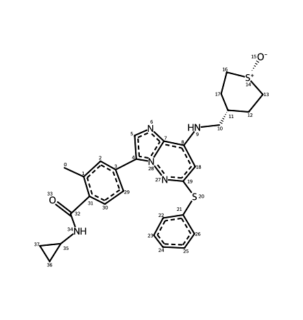 Cc1cc(-c2cnc3c(NC[C@H]4CC[S@@+]([O-])CC4)cc(Sc4ccccc4)nn23)ccc1C(=O)NC1CC1